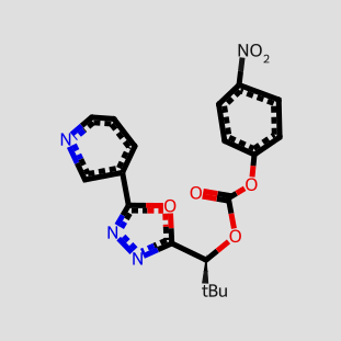 CC(C)(C)[C@H](OC(=O)Oc1ccc([N+](=O)[O-])cc1)c1nnc(-c2cccnc2)o1